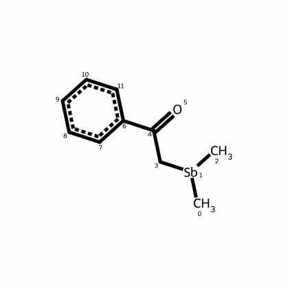 [CH3][Sb]([CH3])[CH2]C(=O)c1ccccc1